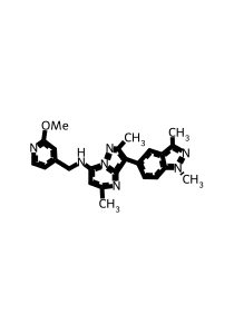 COc1cc(CNc2cc(C)nc3c(-c4ccc5c(c4)c(C)nn5C)c(C)nn23)ccn1